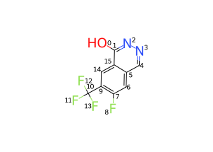 Oc1nncc2cc(F)c(C(F)(F)F)cc12